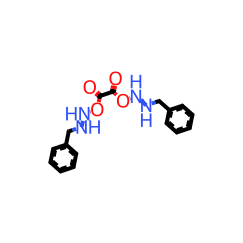 O=C(ONNCc1ccccc1)C(=O)ONNCc1ccccc1